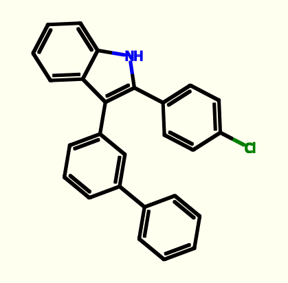 Clc1ccc(-c2[nH]c3ccccc3c2-c2cccc(-c3ccccc3)c2)cc1